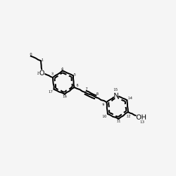 CCOc1ccc(C#Cc2ccc(O)cn2)cc1